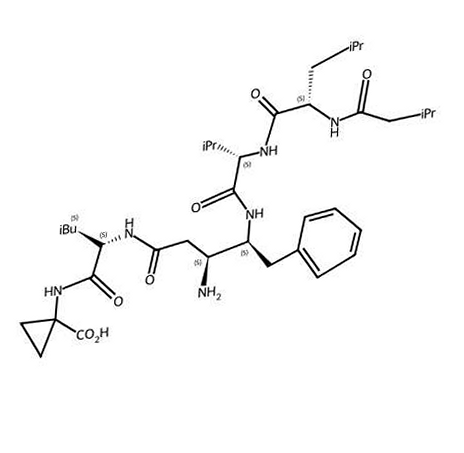 CC[C@H](C)[C@H](NC(=O)C[C@H](N)[C@H](Cc1ccccc1)NC(=O)[C@@H](NC(=O)[C@H](CC(C)C)NC(=O)CC(C)C)C(C)C)C(=O)NC1(C(=O)O)CC1